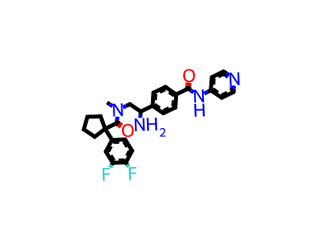 CN(CC(N)c1ccc(C(=O)Nc2ccncc2)cc1)C(=O)C1(c2ccc(F)c(F)c2)CCCC1